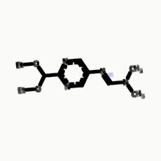 CCOC(OCC)c1ncc(/N=C/N(C)C)cn1